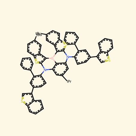 CC(C)c1cc2c3c(c1)N(c1ccc(-c4csc5ccccc45)cc1-c1ccccc1)c1sc4ccc(C(C)(C)C)cc4c1B3c1c(sc3ccc(C(C)(C)C)cc13)N2c1ccc(-c2csc3ccccc23)cc1-c1ccccc1